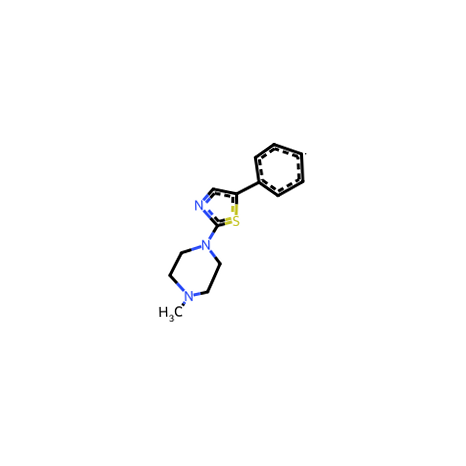 CN1CCN(c2ncc(-c3cc[c]cc3)s2)CC1